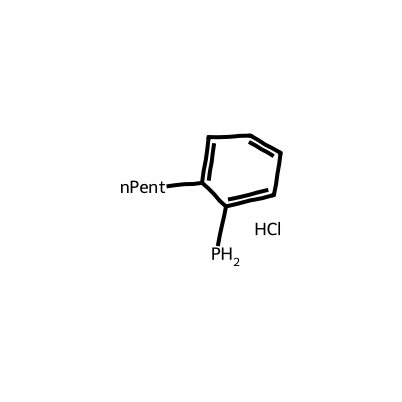 CCCCCc1ccccc1P.Cl